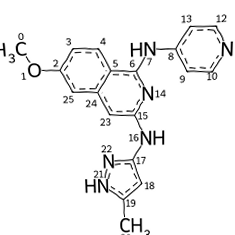 COc1ccc2c(Nc3ccncc3)nc(Nc3cc(C)[nH]n3)cc2c1